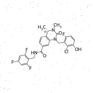 C[C@H]1c2ccc(C(=O)NCc3c(F)cc(F)cc3F)cc2N(Cc2c(F)ccc(O)c2Cl)C(=O)N1C